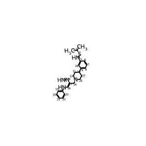 CC(C)SNc1cccc(C2CCN(C/C(=C/Nc3ccccc3)N=N)CC2)c1